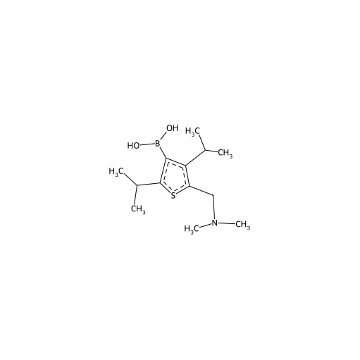 CC(C)c1sc(CN(C)C)c(C(C)C)c1B(O)O